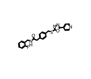 O=C(Cc1ccc(CSc2nnc(-c3ccncc3)o2)cc1)NCc1ccccc1F